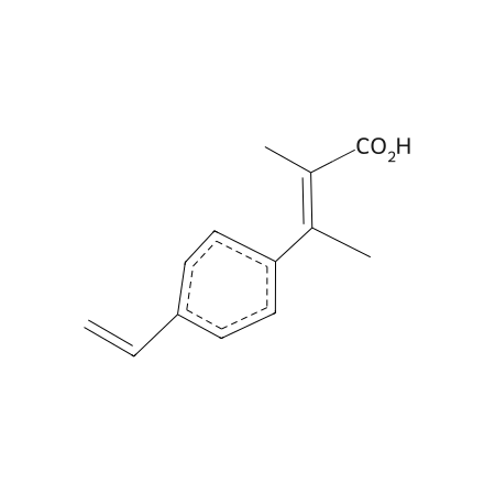 C=Cc1ccc(C(C)=C(C)C(=O)O)cc1